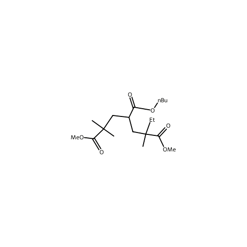 CCCCOC(=O)C(CC(C)(C)C(=O)OC)CC(C)(CC)C(=O)OC